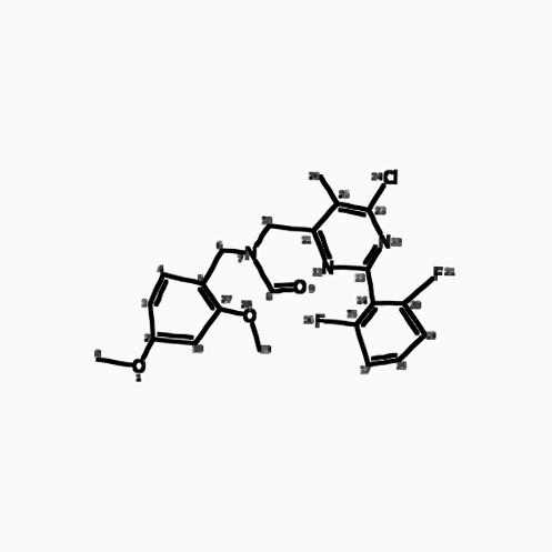 COc1ccc(CN(C=O)Cc2nc(-c3c(F)cccc3F)nc(Cl)c2C)c(OC)c1